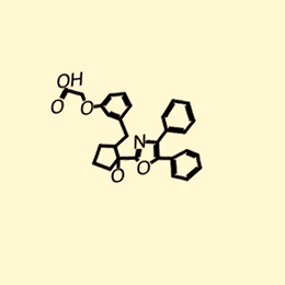 O=C(O)COc1cccc(CC2CCC3OC23c2nc(-c3ccccc3)c(-c3ccccc3)o2)c1